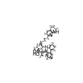 COC[C@@H](F)CN(CCCCc1ccc2c(n1)NCCC2)CCC(Nc1ncncc1-c1ccccc1)C(=O)O